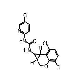 O=C(Nc1ccc(Cl)cn1)NC1[C@H]2COc3c(Cl)ccc(Cl)c3[C@@H]12